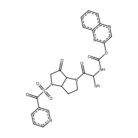 CCCC(NC(=O)Oc1cnc2ccccc2n1)C(=O)N1CCC2C1C(=O)CN2S(=O)(=O)C(=O)c1cccnc1